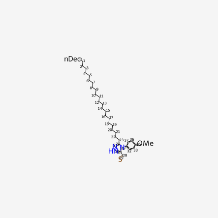 CCCCCCCCCCCCCCCCCCCCCCCCCCCCCCCCCC1=NNC(C=S)N1c1ccc(OC)cc1